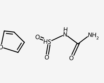 NC(=O)N[SH](=O)=O.c1ccoc1